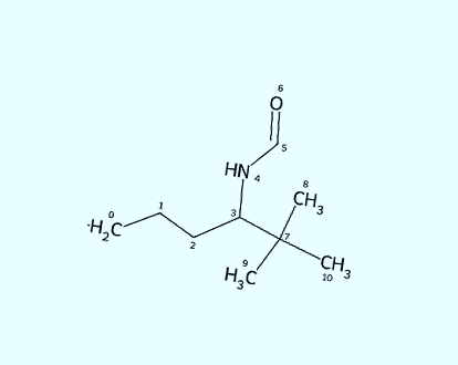 [CH2]CCC(NC=O)C(C)(C)C